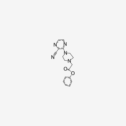 N#Cc1nccnc1N1CCN(CC(=O)Oc2ccccc2)CC1